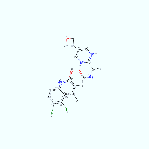 Cc1c(CC(=O)NC(C)c2ncc(C3COC3)cn2)c(=O)[nH]c2ccc(F)c(F)c12